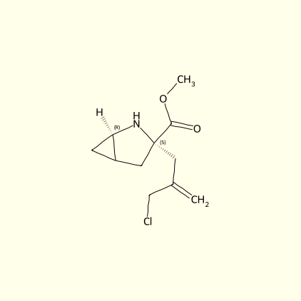 C=C(CCl)C[C@]1(C(=O)OC)CC2C[C@H]2N1